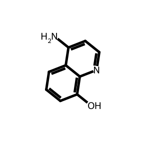 Nc1ccnc2c(O)cccc12